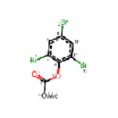 COC(=O)Oc1c(Br)cc(Br)cc1Br